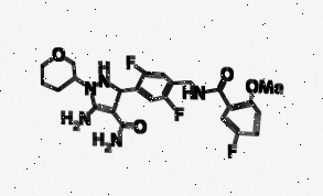 COc1ccc(F)cc1C(=O)NCc1cc(F)c(C2NN(C3CCCOC3)C(N)=C2C(N)=O)cc1F